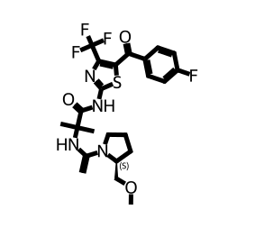 C=C(NC(C)(C)C(=O)Nc1nc(C(F)(F)F)c(C(=O)c2ccc(F)cc2)s1)N1CCC[C@H]1COC